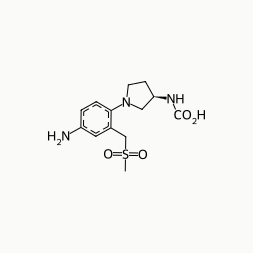 CS(=O)(=O)Cc1cc(N)ccc1N1CC[C@@H](NC(=O)O)C1